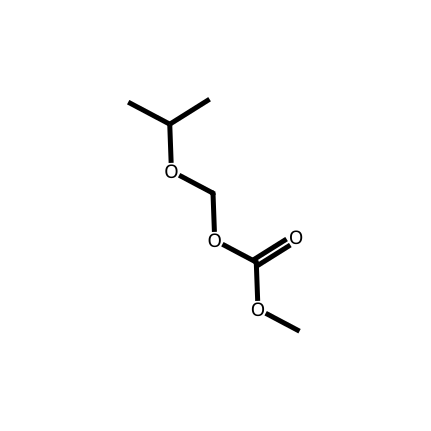 COC(=O)OCOC(C)C